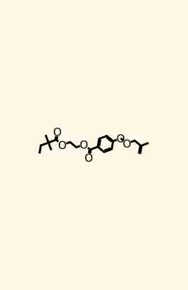 C=C(C)COOc1ccc(C(=O)OCCOC(=O)C(C)(C)CC)cc1